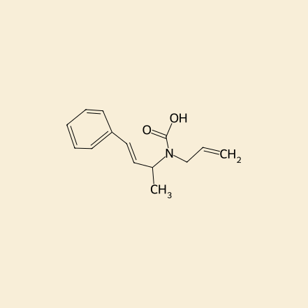 C=CCN(C(=O)O)C(C)C=Cc1ccccc1